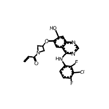 C=CC(=O)N1CC(Oc2cc3c(Nc4ccc(F)c(Cl)c4F)ncnc3cc2O)C1